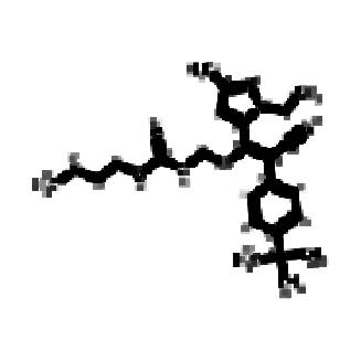 CCn1nc(C)cc1/C(OCOC(=O)OCCSC)=C(\C#N)c1ccc(C(C)(C)C)cc1